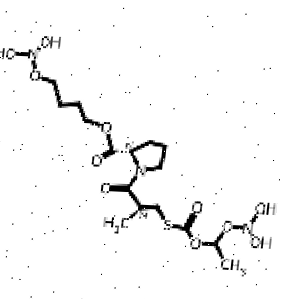 CC(OC(=O)SC[C@@H](C)C(=O)N1CCC[C@H]1C(=O)OCCCCON(O)O)ON(O)O